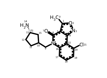 Cc1onc2c1c(=O)n(CC1CC[C@H](N)C1)c1cccc(Cl)c21